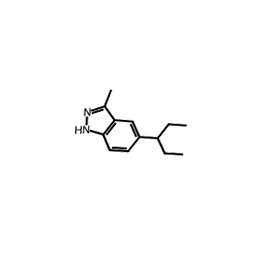 CCC(CC)c1ccc2[nH]nc(C)c2c1